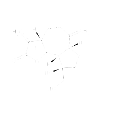 C=C1C(=O)O[C@@H]2[C@@H]3[C@@H](CC[C@]3(O)CO)C(=C)CC[C@@H]12